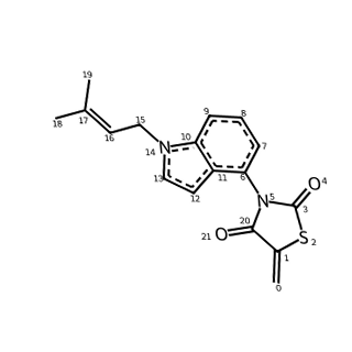 C=C1SC(=O)N(c2cccc3c2ccn3CC=C(C)C)C1=O